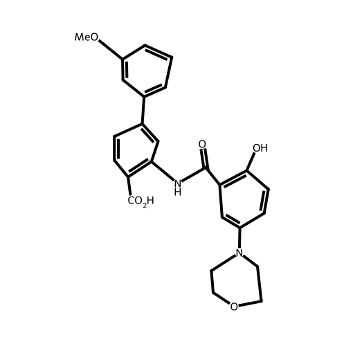 COc1cccc(-c2ccc(C(=O)O)c(NC(=O)c3cc(N4CCOCC4)ccc3O)c2)c1